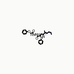 C/C=C\C=C(/C)c1cc(C(=O)NNC(=O)COc2ccccc2)n(-c2ccccc2)n1